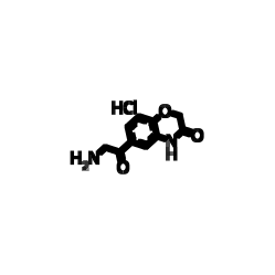 Cl.NCC(=O)c1ccc2c(c1)NC(=O)CO2